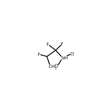 CC(F)C(F)(F)[SiH](Cl)Cl